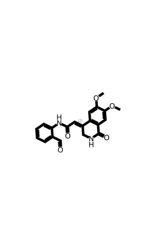 COc1cc2c(cc1OC)/C(=C/C(=O)Nc1ccccc1C=O)CNC2=O